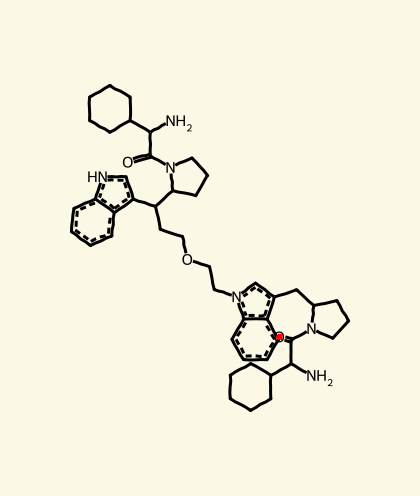 NC(C(=O)N1CCCC1Cc1cn(CCOCCC(c2c[nH]c3ccccc23)C2CCCN2C(=O)C(N)C2CCCCC2)c2ccccc12)C1CCCCC1